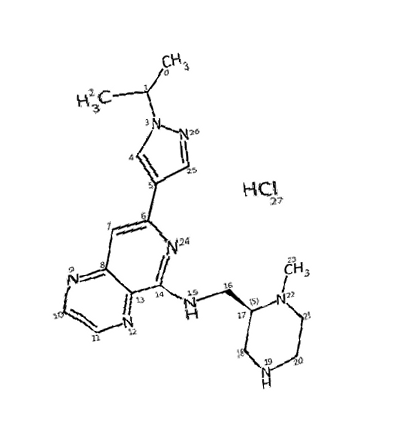 CC(C)n1cc(-c2cc3nccnc3c(NC[C@@H]3CNCCN3C)n2)cn1.Cl